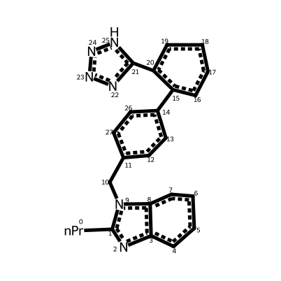 CCCc1nc2ccccc2n1Cc1ccc(-c2ccccc2-c2nnn[nH]2)cc1